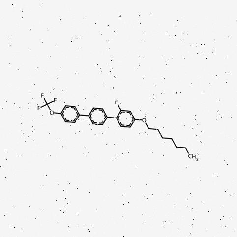 CCCCCCCOc1ccc(-c2ccc(-c3ccc(OC(F)(F)F)cc3)cc2)c(F)c1